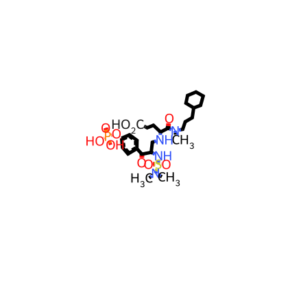 CN(CCCC1CCCCC1)C(=O)C(CCC(=O)O)NCC(NS(=O)(=O)N(C)C)C(=O)c1ccc(OP(=O)(O)O)cc1